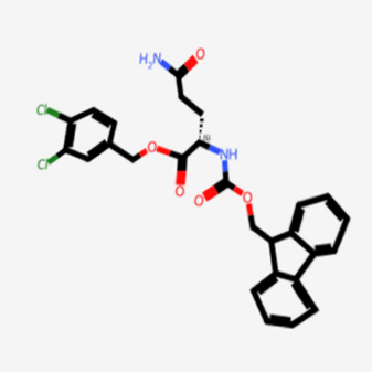 NC(=O)CC[C@H](NC(=O)OCC1c2ccccc2-c2ccccc21)C(=O)OCc1ccc(Cl)c(Cl)c1